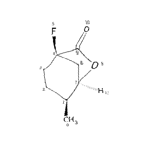 C[C@H]1CC[C@@]2(F)C[C@H]1OC2=O